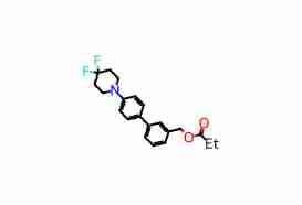 CCC(=O)OCc1cccc(-c2ccc(N3CCC(F)(F)CC3)cc2)c1